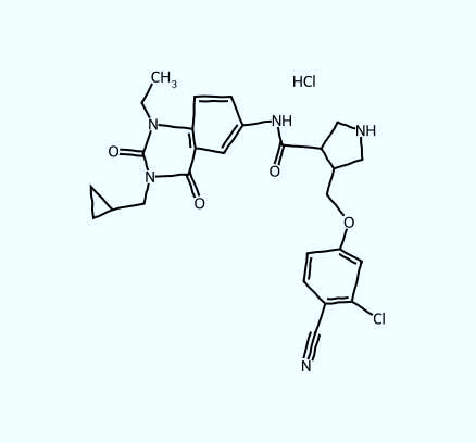 CCn1c(=O)n(CC2CC2)c(=O)c2cc(NC(=O)C3CNCC3COc3ccc(C#N)c(Cl)c3)ccc21.Cl